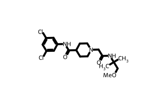 COCC(C)(C)NC(=O)CN1CCC(C(=O)Nc2cc(Cl)cc(Cl)c2)CC1